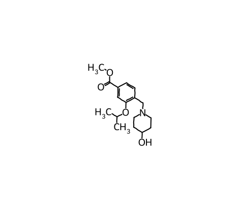 COC(=O)c1ccc(CN2CCC(O)CC2)c(OC(C)C)c1